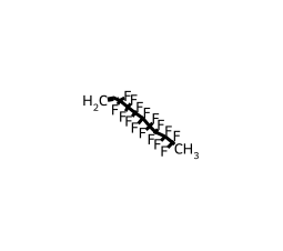 C=[C]C(F)(F)C(F)(F)C(F)(F)C(F)(F)C(F)(F)C(F)(F)C(F)(F)C(C)(F)F